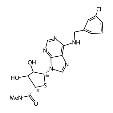 CNC(=O)[C@H]1S[C@@H](n2cnc3c(NCc4cccc(Cl)c4)ncnc32)C(O)C1O